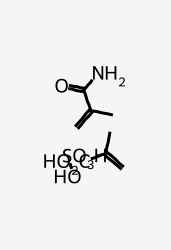 C=C(C)C(=O)O.C=C(C)C(N)=O.O=S(=O)(O)O